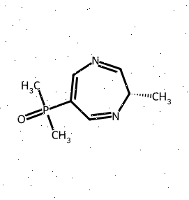 C[C@H]1C=NC=C(P(C)(C)=O)C=N1